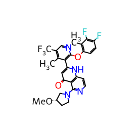 CO[C@H]1CCN(c2nccc3[nH]c(-c4c(Oc5ccc(F)c(F)c5C)ncc(C(F)(F)F)c4C)cc(=O)c23)C1